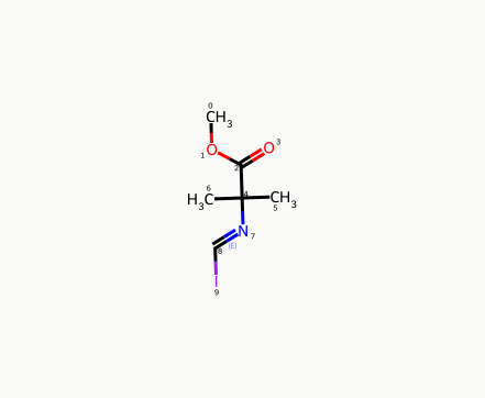 COC(=O)C(C)(C)/N=C/I